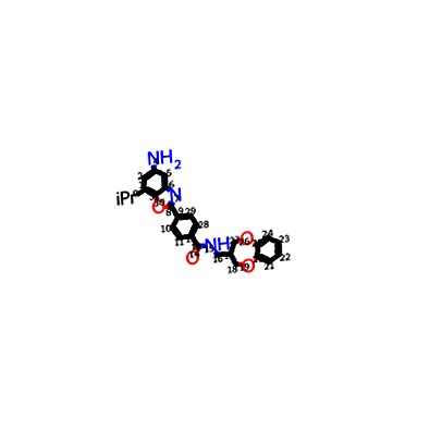 CC(C)c1cc(N)cc2nc(-c3ccc(C(=O)NCC4COc5ccccc5OC4)cc3)oc12